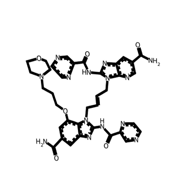 NC(=O)c1cnc2c(c1)nc(NC(=O)c1cnccn1)n2C/C=C/Cn1c(NC(=O)c2cnccn2)nc2cc(C(N)=O)cc(OCCCN3CCOCC3)c21